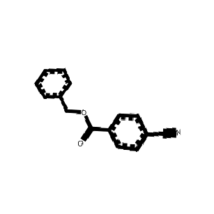 N#Cc1ccc(C(=O)OCc2ccccc2)cc1